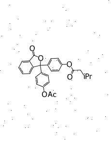 CC(=O)Oc1ccc(C2(c3ccc(OC(=O)CC(C)C)cc3)OC(=O)c3ccccc32)cc1